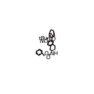 CC(C)(C)OC(=O)N1C2CCC1CN(c1cc3c(cc1C#N)CC(NC(=O)OCc1ccccc1)CC3)C2